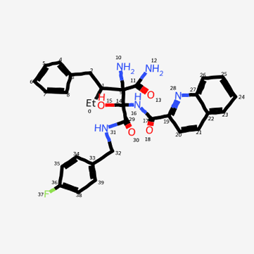 CCC(Cc1ccccc1)C(N)(C(N)=O)C(O)(NC(=O)c1ccc2ccccc2n1)C(=O)NCc1ccc(F)cc1